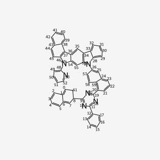 C1=c2ccccc2=CC(c2nc(-c3ccccc3)nc(-c3cccc4cc(-n5c6ccccc6c6cc7c8c9ccccc9ccc8n(-c8ccccn8)c7cc65)ccc34)n2)C1